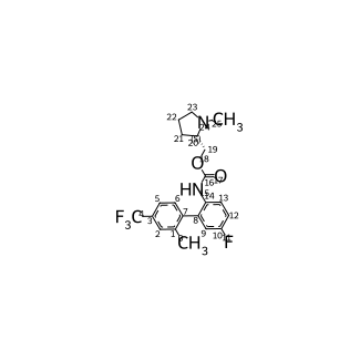 Cc1cc(C(F)(F)F)ccc1-c1cc(F)ccc1NC(=O)OC[C@@H]1CCCN1C